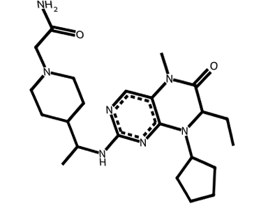 CCC1C(=O)N(C)c2cnc(NC(C)C3CCN(CC(N)=O)CC3)nc2N1C1CCCC1